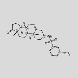 C[C@]12CC[C@H](NS(=O)(=O)c3cccc([N+](=O)[O-])c3)CC1=CC[C@@H]1[C@@H]2CC[C@]2(C)C(=O)CC[C@@H]12